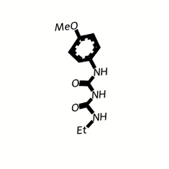 CCNC(=O)NC(=O)Nc1ccc(OC)cc1